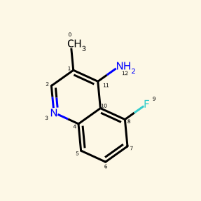 Cc1cnc2cccc(F)c2c1N